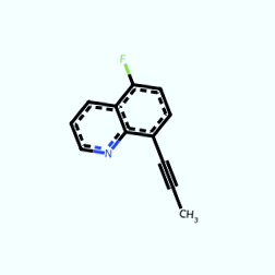 CC#Cc1ccc(F)c2cccnc12